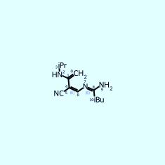 C=C(NC(C)C)/C(C#N)=C\N=C(\N)C(C)CC